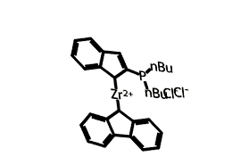 CCCCP(CCCC)C1=Cc2ccccc2[CH]1[Zr+2][CH]1c2ccccc2-c2ccccc21.[Cl-].[Cl-]